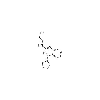 CC(C)CCNc1nc(N2CCCC2)c2ccccc2n1